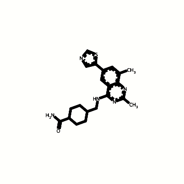 Cc1nc(NCC2CCC(C(N)=O)CC2)c2cc(-c3cncs3)cc(C)c2n1